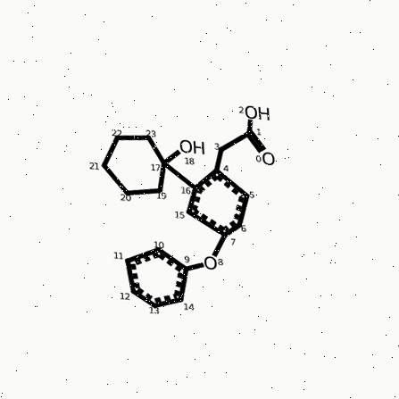 O=C(O)Cc1ccc(Oc2ccccc2)cc1C1(O)CCCCC1